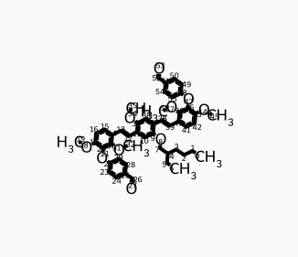 CCCCC(CC)COc1cc(C=Cc2ccc(OC)c(Oc3ccc(C=O)cc3)c2OC)c(OC)cc1C=Cc1ccc(OC)c(Oc2ccc(C=O)cc2)c1OC